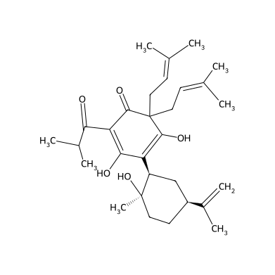 C=C(C)[C@H]1CC[C@@](C)(O)[C@@H](C2=C(O)C(CC=C(C)C)(CC=C(C)C)C(=O)C(C(=O)C(C)C)=C2O)C1